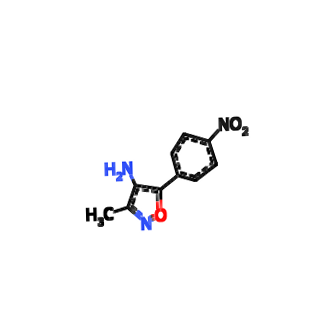 Cc1noc(-c2ccc([N+](=O)[O-])cc2)c1N